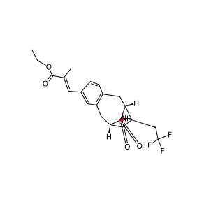 CCOC(=O)/C(C)=C/c1ccc2c(c1)C[C@H]1CC[C@@H](C2)[C@]12CN(CC(F)(F)F)S(=O)(=O)N2